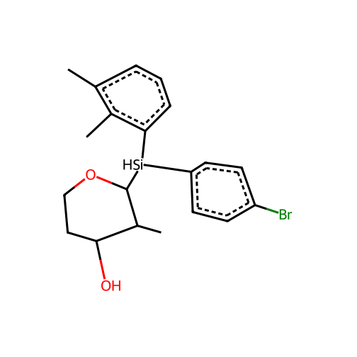 Cc1cccc([SiH](c2ccc(Br)cc2)C2OCCC(O)C2C)c1C